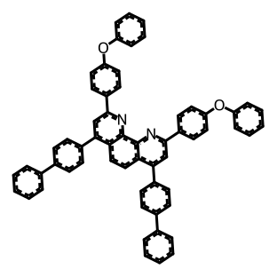 c1ccc(Oc2ccc(-c3cc(-c4ccc(-c5ccccc5)cc4)c4ccc5c(-c6ccc(-c7ccccc7)cc6)cc(-c6ccc(Oc7ccccc7)cc6)nc5c4n3)cc2)cc1